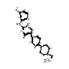 O=C(O)CC1CCC(c2ccc(-c3cnc(Nc4cccc(F)c4)nc3)cc2)CC1